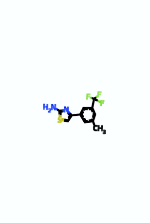 Cc1cc(-c2csc(N)n2)cc(C(F)(F)F)c1